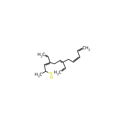 C=C/C=C\C/C(C=C)=C/C/C(C=C)=C\C(C)S